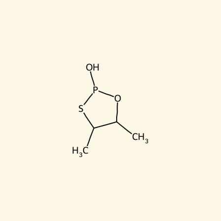 CC1OP(O)SC1C